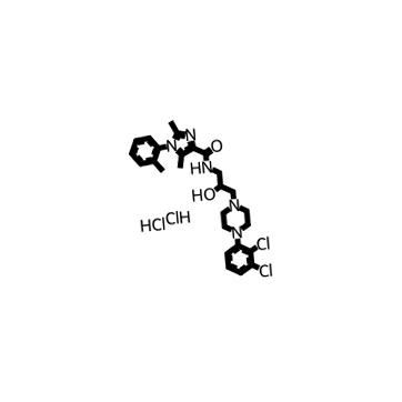 Cc1ccccc1-n1c(C)nc(C(=O)NCC(O)CN2CCN(c3cccc(Cl)c3Cl)CC2)c1C.Cl.Cl